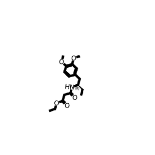 CCOC(=O)CC(=O)N[C@H](CC)Cc1ccc(OC)c(OC)c1